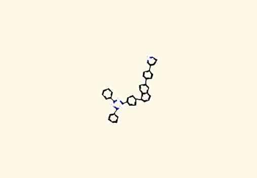 c1ccc(-c2nc(-c3ccccc3)nc(-c3ccc(-c4cccc5cc(-c6ccc(-c7cccnc7)cc6)ccc45)cc3)n2)cc1